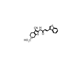 N#Cc1c(NC(=O)C=Cc2csc3ccccc23)sc2c1CCN(C(=O)O)C2